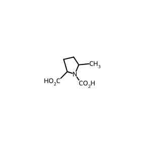 CC1CCC(C(=O)O)N1C(=O)O